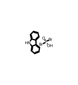 O=P(O)(Br)Br.c1ccc2c(c1)[nH]c1ccccc12